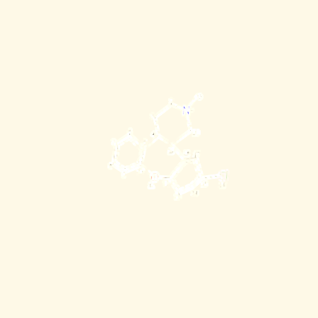 CN1CCC2c3ccccc3Oc3ccc(Cl)cc3C2C1